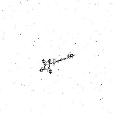 CC(C)(C)OC(=O)CN1CCN(CC(=O)OC(C)(C)C)CCN(C(CCC(=O)NCCOCCOCCOCCC(=O)Oc2c(F)c(F)cc(F)c2F)C(=O)OC(C)(C)C)CCN(CC(=O)OC(C)(C)C)CC1